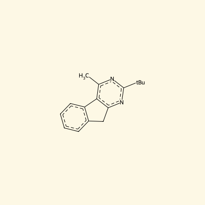 Cc1nc(C(C)(C)C)nc2c1-c1ccccc1C2